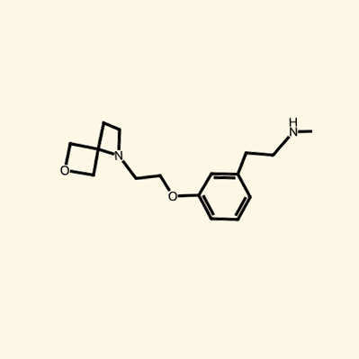 CNCCc1cccc(OCCN2CCC23COC3)c1